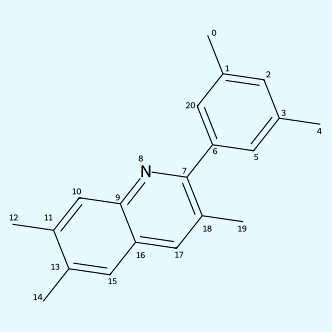 Cc1cc(C)cc(-c2nc3cc(C)c(C)cc3cc2C)c1